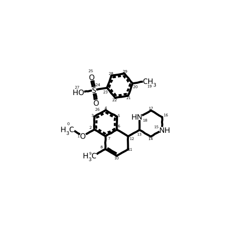 COc1cccc2c1C(C)=CCC2C1CNCCN1.Cc1ccc(S(=O)(=O)O)cc1